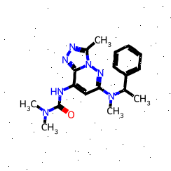 Cc1nnc2c(NC(=O)N(C)C)cc(N(C)C(C)c3ccccc3)nn12